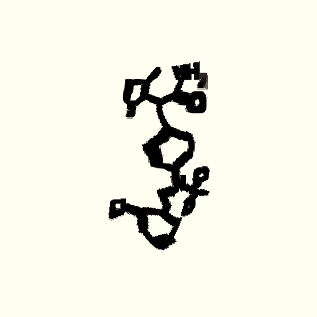 Cc1ccsc1C(C(N)=O)c1ccc(N(Cc2ccccc2Cl)S(C)(=O)=O)cc1